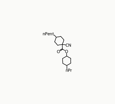 CCCCCC1CCC(C#N)(C(=O)OC2CCC(CCC)CC2)CC1